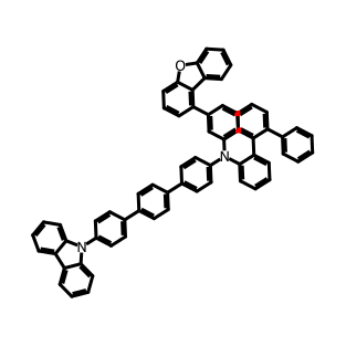 c1ccc(-c2ccccc2-c2ccccc2N(c2ccc(-c3ccc(-c4ccc(-n5c6ccccc6c6ccccc65)cc4)cc3)cc2)c2cccc(-c3cccc4oc5ccccc5c34)c2)cc1